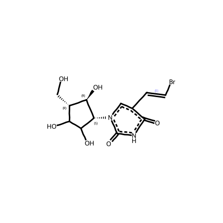 O=c1[nH]c(=O)n([C@@H]2C(O)C(O)[C@H](CO)[C@H]2O)cc1/C=C/Br